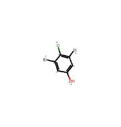 CCc1cc(O)cc(CC)c1Cl